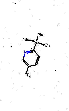 CCC[CH2][Sn]([CH2]CCC)([CH2]CCC)[c]1ccc(C(F)(F)F)cn1